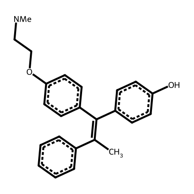 CNCCOc1ccc(C(=C(C)c2ccccc2)c2ccc(O)cc2)cc1